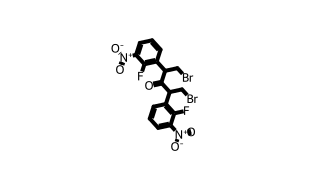 O=C(C(CBr)c1cccc([N+](=O)[O-])c1F)C(CBr)c1cccc([N+](=O)[O-])c1F